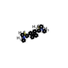 CSC12CCCCC1(C)N(c1ccccc1)c1ccc(-c3ccc4c(c3)C(c3ccccc3)(c3ccccc3)c3cc(-c5ccc6c(c5)C5(SC)CCCCC5(C)N6c5ccccc5)ccc3-4)cc12